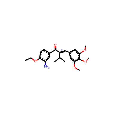 CCOc1ccc(C(=O)/C(=C/c2cc(OC)c(OC)c(OC)c2)C(C)C)cc1N